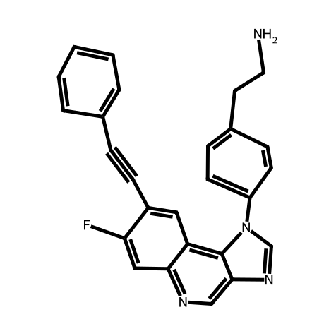 NCCc1ccc(-n2cnc3cnc4cc(F)c(C#Cc5ccccc5)cc4c32)cc1